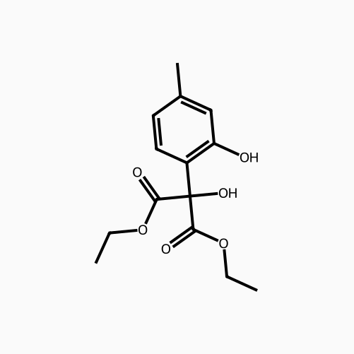 CCOC(=O)C(O)(C(=O)OCC)c1ccc(C)cc1O